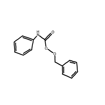 O=C(Nc1ccccc1)OOCc1ccccc1